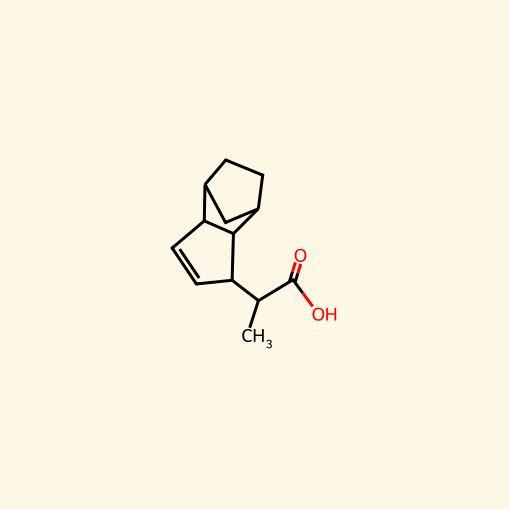 CC(C(=O)O)C1C=CC2C3CCC(C3)C21